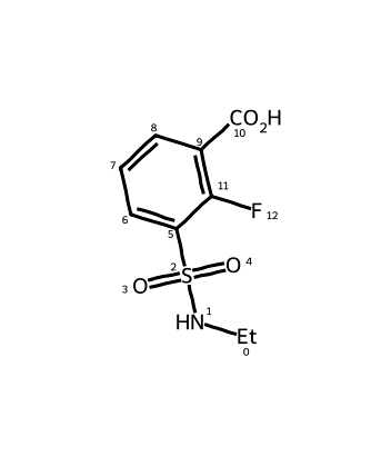 CCNS(=O)(=O)c1cccc(C(=O)O)c1F